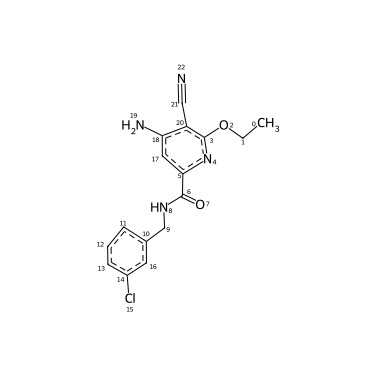 CCOc1nc(C(=O)NCc2cccc(Cl)c2)cc(N)c1C#N